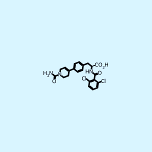 NC(=O)N1CC=C(c2ccc(C[C@H](NC(=O)c3c(Cl)cccc3Cl)C(=O)O)cc2)CC1